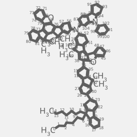 CCCCCCCC1(CCCCCCC)c2ccccc2-c2ccc(-c3ccc4c(c3)C(C)(C)c3cc(-c5cc6c(c7c5oc5ccccc57)-c5ccc(N(c7ccc8c(c7)C(C)(C)c7c9c(c%10c(oc%11ccccc%11%10)c7-8)-c7ccccc7C9(C)C)c7ccc8c9ccccc9n(-c9ccccc9)c8c7)cc5C6(C)C)ccc3-4)cc21